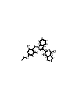 CCOc1cc(F)c(Cn2nc(C3=NC(Cl)=C4COCC4N3)c3ccccc32)c(F)c1